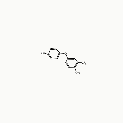 CCC(C)c1ccc(Oc2ccc(O)c(C(F)(F)F)c2)cc1